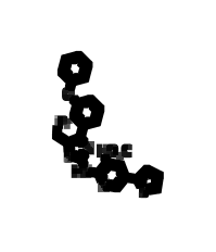 CC(C)Cc1sc(Nc2ncc(-c3cccs3)cc2C(=O)O)nc1-c1cccc(Oc2ccccc2)c1